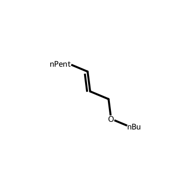 CCCCCC=CCOCCCC